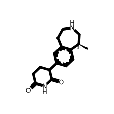 C[C@@H]1CNCCc2cc(C3CCC(=O)NC3=O)ccc21